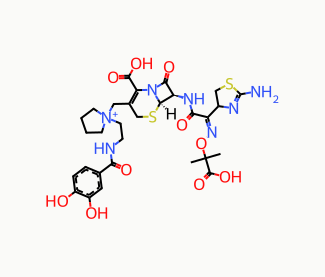 CC(C)(O/N=C(\C(=O)N[C@@H]1C(=O)N2C(C(=O)O)=C(C[N+]3(CCNC(=O)c4ccc(O)c(O)c4)CCCC3)CS[C@H]12)C1CSC(N)=N1)C(=O)O